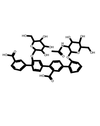 CC(=O)NC1C(Oc2ccccc2-c2ccc(-c3ccc(-c4cccc(C(=O)O)c4)c(OC4OC(CO)C(O)C(O)C4O)c3)c(C(=O)O)c2)OC(CO)C(O)C1O